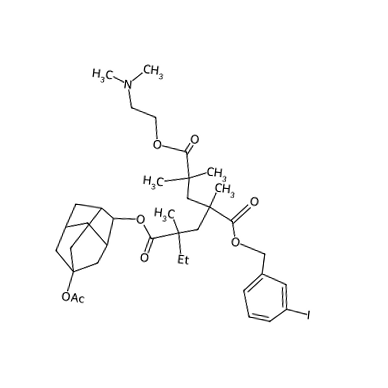 CCC(C)(CC(C)(CC(C)(C)C(=O)OCCN(C)C)C(=O)OCc1cccc(I)c1)C(=O)OC1C2CC3CC1CC(OC(C)=O)(C3)C2